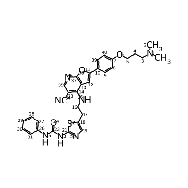 CN(C)CCCOc1ccc(-c2cc3c(NCCc4cnc(NC(=O)Nc5ccccc5)s4)c(C#N)cnc3o2)cc1